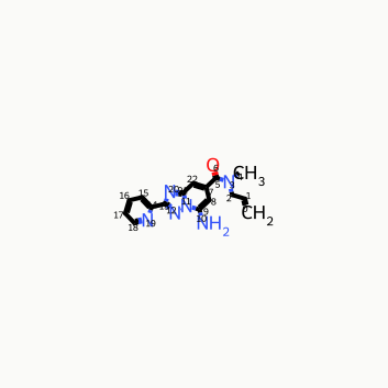 C=CCN(C)C(=O)c1cc(N)n2nc(-c3ccccn3)nc2c1